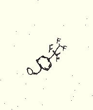 O=Cc1ccc(C(F)(F)C(F)F)cc1